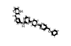 c1ccc(OCc2cnc(N3CCN(c4ncnc(Nc5cnn(C[C@@H]6CNCCO6)c5)n4)CC3)nc2)cc1